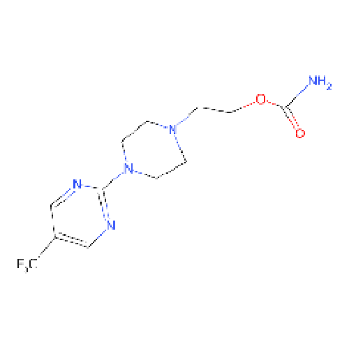 NC(=O)OCCN1CCN(c2ncc(C(F)(F)F)cn2)CC1